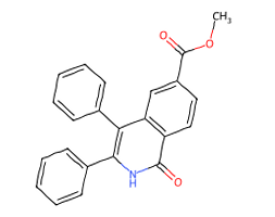 COC(=O)c1ccc2c(=O)[nH]c(-c3ccccc3)c(-c3ccccc3)c2c1